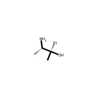 CC[C@@](C)(O)[C@H](C)N